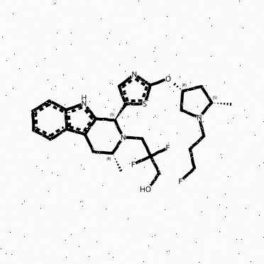 C[C@@H]1Cc2c([nH]c3ccccc23)[C@@H](c2cnc(O[C@@H]3C[C@H](C)N(CCCF)C3)s2)N1CC(F)(F)CO